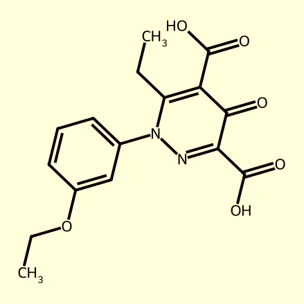 CCOc1cccc(-n2nc(C(=O)O)c(=O)c(C(=O)O)c2CC)c1